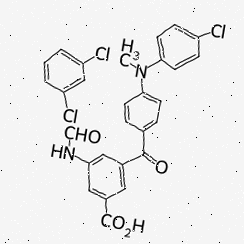 CN(c1ccc(Cl)cc1)c1ccc(C(=O)c2cc(NC=O)cc(C(=O)O)c2)cc1.Clc1cccc(Cl)c1